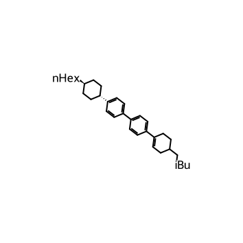 CCCCCC[C@H]1CC[C@H](c2ccc(-c3ccc(C4=CCC(CC(C)CC)CC4)cc3)cc2)CC1